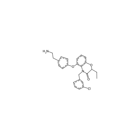 CCC1Oc2cccc(Oc3ccc(CCN)cc3)c2N(Cc2cccc(Cl)c2)C1=O